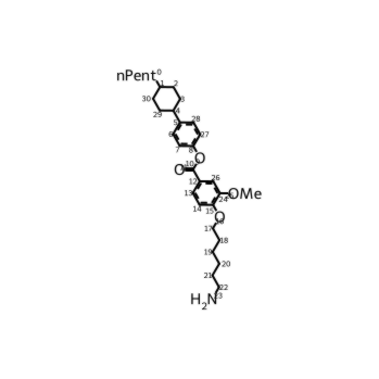 CCCCCC1CCC(c2ccc(OC(=O)c3ccc(OCCCCCCN)c(OC)c3)cc2)CC1